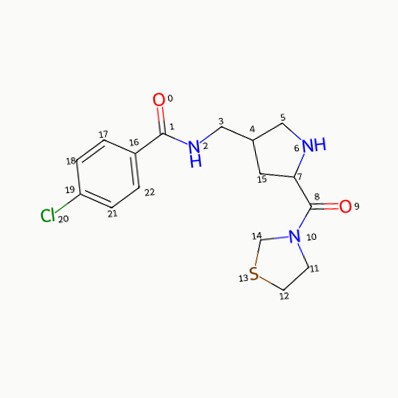 O=C(NCC1CNC(C(=O)N2CCSC2)C1)c1ccc(Cl)cc1